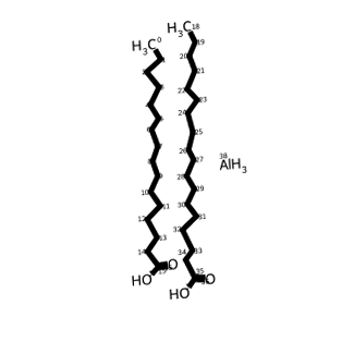 CCCCCCCCCCCCCCCC(=O)O.CCCCCCCCCCCCCCCCCC(=O)O.[AlH3]